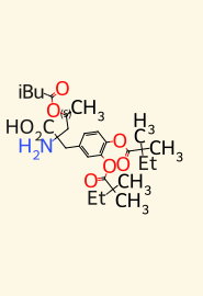 CCC(C)C(=O)O[C@@H](C)CC(N)(Cc1ccc(OC(=O)C(C)(C)CC)c(OC(=O)C(C)(C)CC)c1)C(=O)O